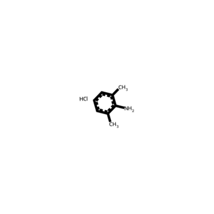 Cc1cccc(C)c1N.Cl